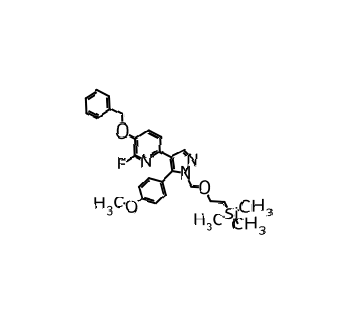 COc1ccc(-c2c(-c3ccc(OCc4ccccc4)c(F)n3)cnn2COCC[Si](C)(C)C)cc1